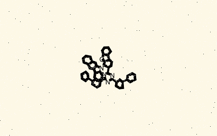 c1ccc(-c2cccc(-c3nc(-c4cccc(-c5ccccc5)c4)nc(-c4ccc5c(oc6ccccc65)c4-n4c5ccccc5c5cc6ccccc6cc54)n3)c2)cc1